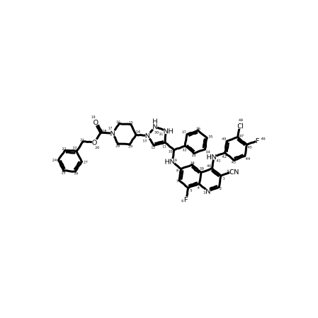 N#Cc1cnc2c(F)cc(NC(C3=CN(C4CCN(C(=O)OCc5ccccc5)CC4)NN3)c3ccccc3)cc2c1Nc1ccc(F)c(Cl)c1